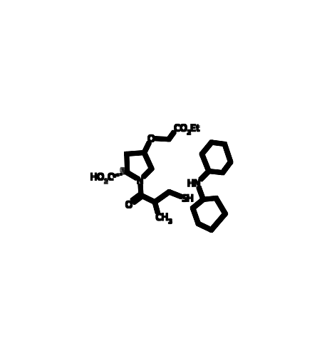 C1CCC(NC2CCCCC2)CC1.CCOC(=O)COC1C[C@@H](C(=O)O)N(C(=O)C(C)CS)C1